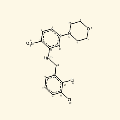 O=[N+]([O-])c1ccc(N2CCOCC2)nc1NCc1cccc(Cl)c1Cl